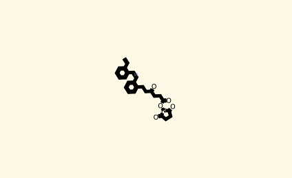 C=Cc1ccccc1/C=C\c1ccccc1CCC(=O)CCC(=O)ON1C(=O)CCC1=O